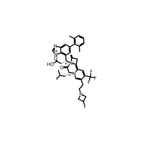 C=C1CC2=C3C=C(C(F)(F)F)C(CCN4CC(F)C4)=CN3[C@H](CC(C)C)C(=O)[N+]12[C@H](CC(=O)O)c1cc(-c2c(C)cccc2C)cc2nc[nH]c12